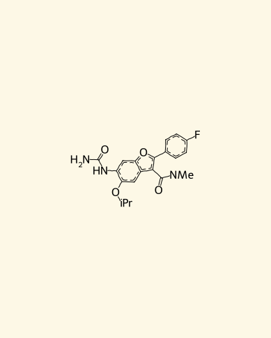 CNC(=O)c1c(-c2ccc(F)cc2)oc2cc(NC(N)=O)c(OC(C)C)cc12